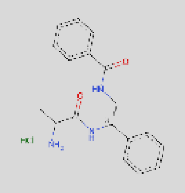 CC(N)C(=O)N[C@H](CNC(=O)c1ccccc1)c1ccccc1.Cl